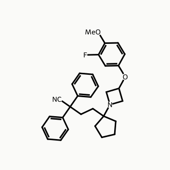 COc1ccc(OC2CN(C3(CCC(C#N)(c4ccccc4)c4ccccc4)CCCC3)C2)cc1F